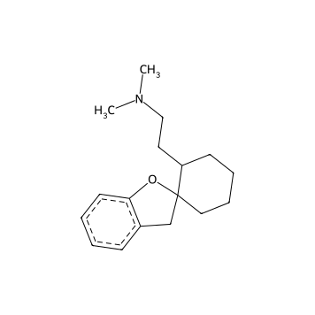 CN(C)CCC1CCCCC12Cc1ccccc1O2